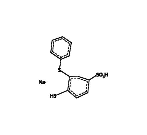 O=S(=O)(O)c1ccc(S)c(Sc2ccccc2)c1.[Na]